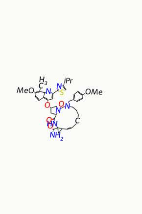 COc1ccc(CN2CCCCCC=CC3CC3(C(N)=O)NC(=O)C3CC(Oc4cc(-c5nc(C(C)C)cs5)nc5c(C)c(OC)ccc45)CN3C2=O)cc1